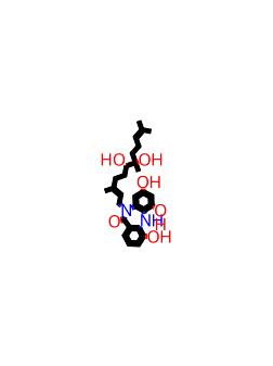 CC(C)=CCCC(C)(O)C(O)CC/C(C)=C/CN1C(=O)c2cccc(O)c2Nc2c(O)cc(O)cc21